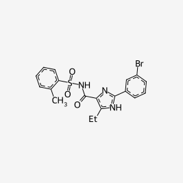 CCc1[nH]c(-c2cccc(Br)c2)nc1C(=O)NS(=O)(=O)c1ccccc1C